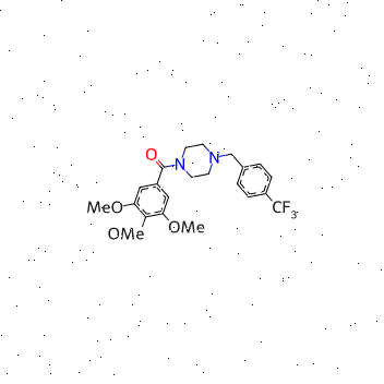 COc1cc(C(=O)N2CCN(Cc3ccc(C(F)(F)F)cc3)CC2)cc(OC)c1OC